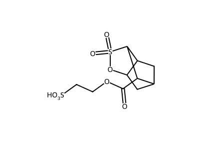 O=C(OCCS(=O)(=O)O)C1C2CC3OS(=O)(=O)C1C3C2